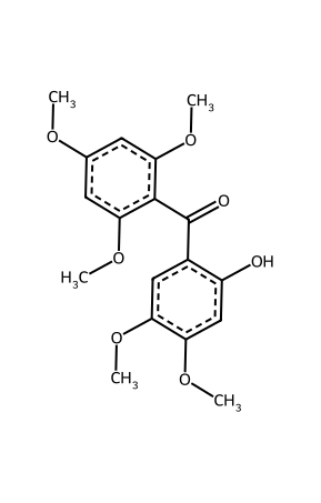 COc1cc(OC)c(C(=O)c2cc(OC)c(OC)cc2O)c(OC)c1